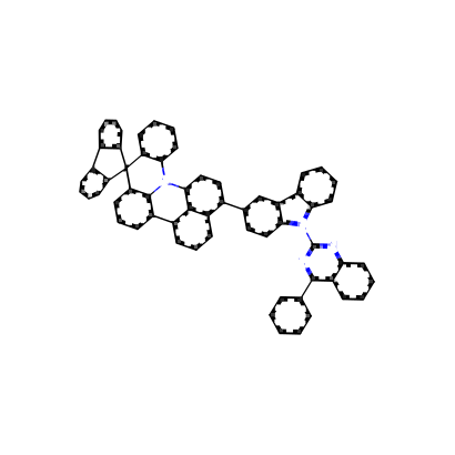 c1ccc(-c2nc(-n3c4ccccc4c4cc(-c5ccc6c7c(cccc57)-c5cccc7c5N6c5ccccc5C75c6ccccc6-c6ccccc65)ccc43)nc3ccccc23)cc1